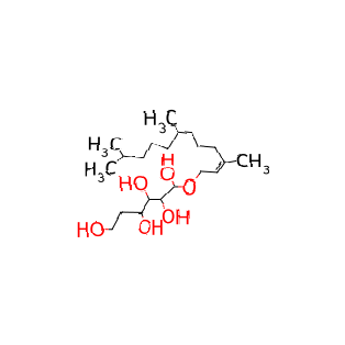 CC(=CCOC(O)C(O)C(O)C(O)CCO)CCCC(C)CCCC(C)C